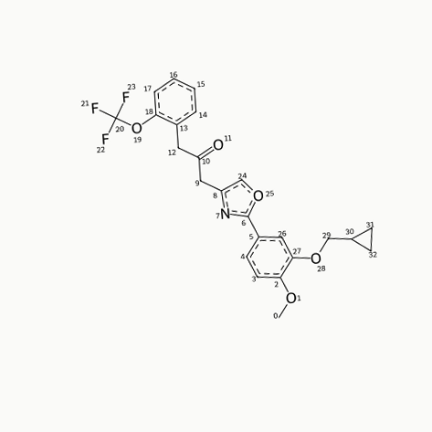 COc1ccc(-c2nc(CC(=O)Cc3ccccc3OC(F)(F)F)co2)cc1OCC1CC1